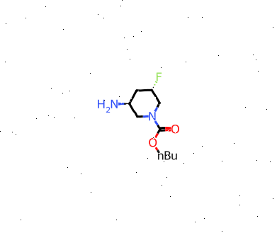 CCCCOC(=O)N1C[C@@H](N)C[C@H](F)C1